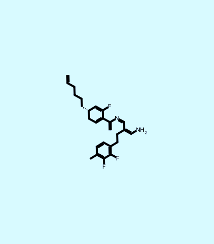 C=CCCCC[C@@H]1C=C(F)C(C(=C)/N=C\C(=C/N)CCc2ccc(C)c(F)c2F)=CC1